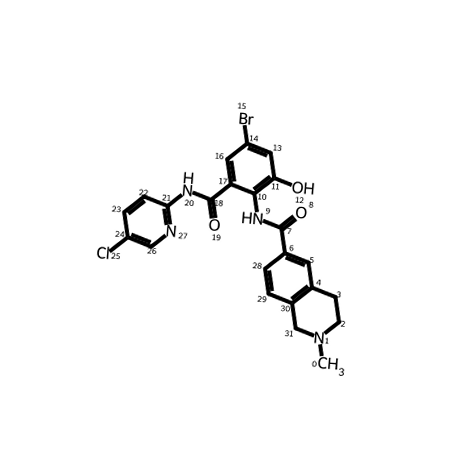 CN1CCc2cc(C(=O)Nc3c(O)cc(Br)cc3C(=O)Nc3ccc(Cl)cn3)ccc2C1